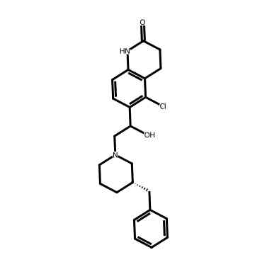 O=C1CCc2c(ccc(C(O)CN3CCC[C@@H](Cc4ccccc4)C3)c2Cl)N1